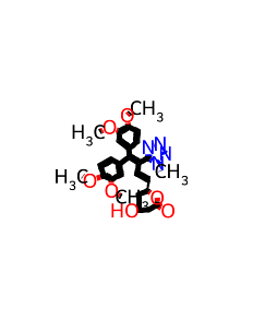 COc1ccc(C(=C(/C=C/[C@@H]2C[C@@H](O)CC(=O)O2)c2nnnn2C)c2ccc(OC)c(OC)c2)cc1OC